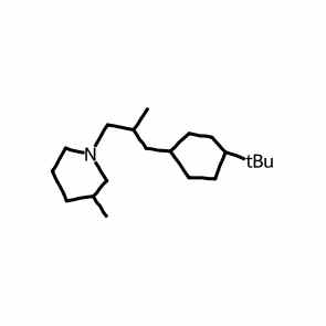 CC1CCCN(CC(C)CC2CCC(C(C)(C)C)CC2)C1